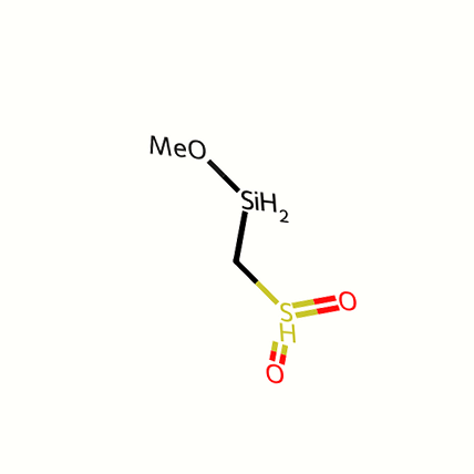 CO[SiH2]C[SH](=O)=O